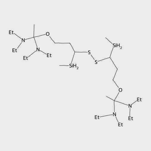 CCN(CC)C(C)(OCCC([SiH2]C)SSC(CCOC(C)(N(CC)CC)N(CC)CC)[SiH2]C)N(CC)CC